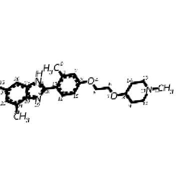 Cc1cc(OCCOC2CCN(C)CC2)ccc1-c1nc2c(C)cc(Cl)cc2[nH]1